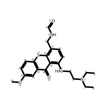 CCN(CC)CC[AsH]c1ccc(CNC=O)c2sc3ccc(OC)cc3c(=O)c12